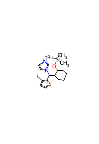 CC(C)(C)[Si](C)(C)OC1CCCCC1C(c1sccc1I)n1ccnc1